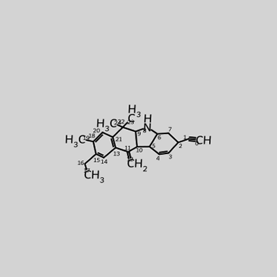 C#CC1C=CC2C(C1)NC1C2C(=C)c2cc(CC)c(C)cc2C1(C)C